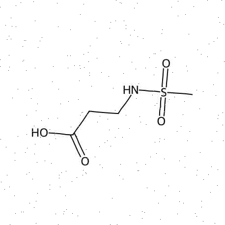 CS(=O)(=O)NCCC(=O)O